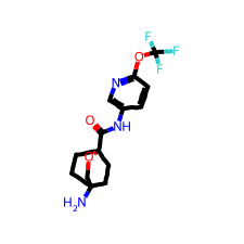 NC12CCC(C(=O)Nc3ccc(OC(F)(F)F)nc3)(CC1)OC2